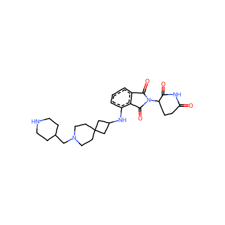 O=C1CCC(N2C(=O)c3cccc(NC4CC5(CCN(CC6CCNCC6)CC5)C4)c3C2=O)C(=O)N1